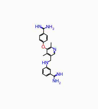 Cc1ncc(CNc2cccc(C(=N)N)c2)c(C)c1Oc1ccc(C(=N)N)cc1